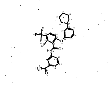 NC(=O)c1cc(NC(=O)c2c(Oc3cccc(C4CCCCC4)c3)ccc(C(F)(F)F)c2F)ccn1